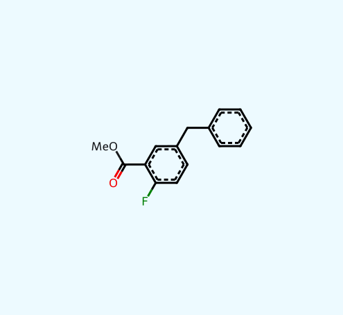 COC(=O)c1cc(Cc2ccccc2)ccc1F